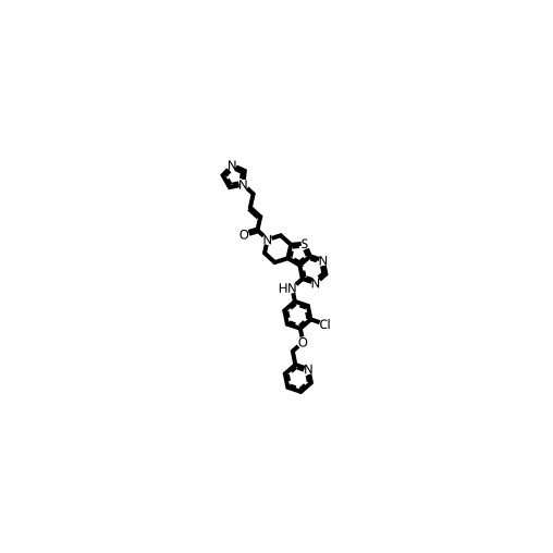 O=C(C=CCn1ccnc1)N1CCc2c(sc3ncnc(Nc4ccc(OCc5ccccn5)c(Cl)c4)c23)C1